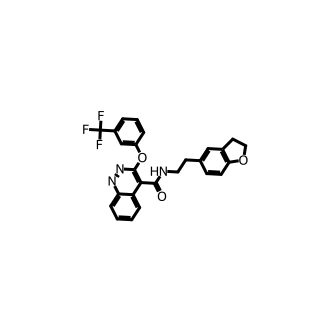 O=C(NCCc1ccc2c(c1)CCO2)c1c(Oc2cccc(C(F)(F)F)c2)nnc2ccccc12